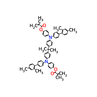 C=C(C)C(=O)Oc1ccc(N(c2ccc(-c3ccc(C)cc3C)cc2)c2ccc(C(C)(C)c3ccc(N(c4ccc(OC(=O)C(=C)C)cc4)c4ccc(-c5ccc(C)cc5C)cc4)cc3)cc2)cc1